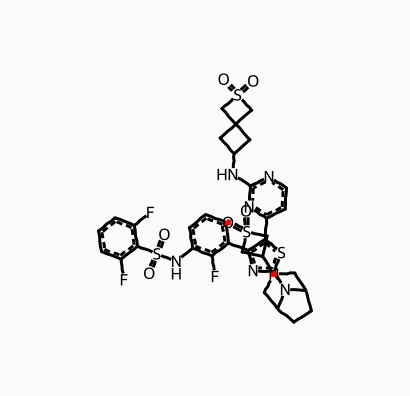 O=S1(=O)CC(N2CC3CCC(C2)N3c2nc(-c3cccc(NS(=O)(=O)c4c(F)cccc4F)c3F)c(-c3ccnc(NC4CC5(C4)CS(=O)(=O)C5)n3)s2)C1